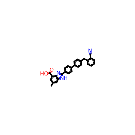 Cc1cc(C(=O)O)c2nc(-c3ccc(-c4ccc(Cc5ccccc5C#N)cc4)cc3)[nH]c2c1